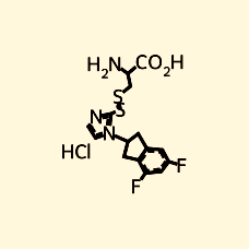 Cl.NC(CSSc1nccn1C1Cc2cc(F)cc(F)c2C1)C(=O)O